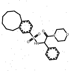 O=C(C(NS(=O)(=O)c1ccc2c(c1)CCCCCCC2)c1ccccc1)N1CCOCC1